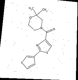 CC1(C)CN(C(=O)c2csc(-c3ccsc3)n2)CCO1